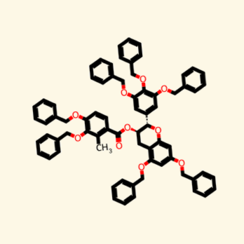 Cc1c(C(=O)O[C@@H]2Cc3c(OCc4ccccc4)cc(OCc4ccccc4)cc3O[C@H]2c2cc(OCc3ccccc3)c(OCc3ccccc3)c(OCc3ccccc3)c2)ccc(OCc2ccccc2)c1OCc1ccccc1